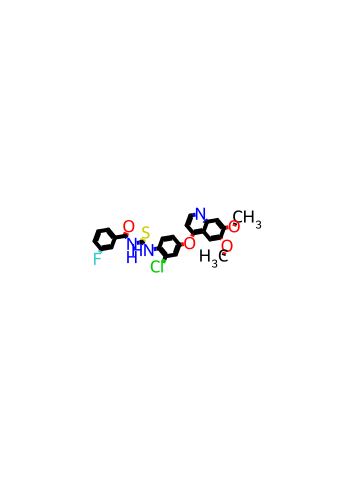 COc1cc2nccc(Oc3ccc(NC(=S)NC(=O)c4cccc(F)c4)c(Cl)c3)c2cc1OC